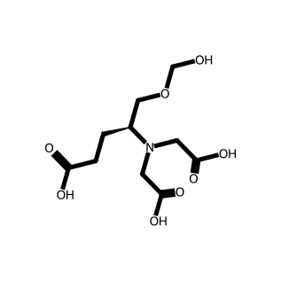 O=C(O)CC[C@@H](COCO)N(CC(=O)O)CC(=O)O